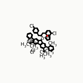 Cc1ccccc1-c1cc2c(cc1C(C)(C)C)-c1cc(C(C)(C)C)c(-c3ccccc3C)cc1[CH]2[Zr+2]([C]1=CC=CC1)=[C](Cc1ccc(Cl)cc1)Cc1ccc(Cl)cc1.[Cl-].[Cl-]